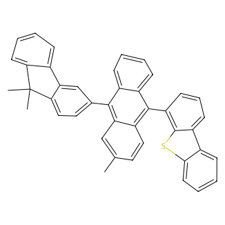 Cc1ccc2c(-c3cccc4c3sc3ccccc34)c3ccccc3c(-c3ccc4c(c3)-c3ccccc3C4(C)C)c2c1